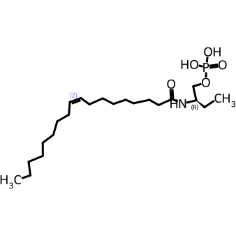 CCCCCCCC/C=C\CCCCCCCC(=O)N[C@H](CC)COP(=O)(O)O